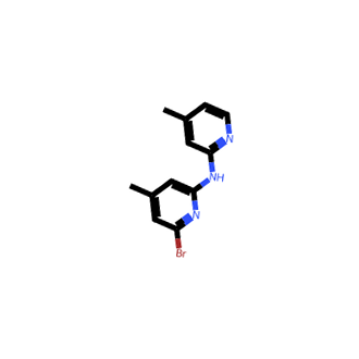 Cc1ccnc(Nc2cc(C)cc(Br)n2)c1